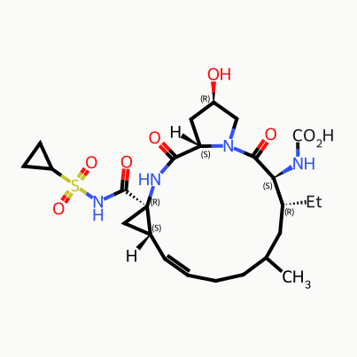 CC[C@@H]1CC(C)CCC=C[C@@H]2C[C@@]2(C(=O)NS(=O)(=O)C2CC2)NC(=O)[C@@H]2C[C@@H](O)CN2C(=O)[C@H]1NC(=O)O